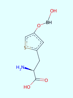 N[C@@H](Cc1cc(OBO)cs1)C(=O)O